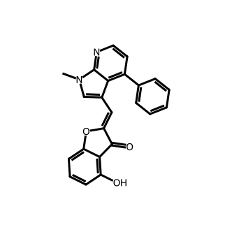 Cn1cc(/C=C2\Oc3cccc(O)c3C2=O)c2c(-c3ccccc3)ccnc21